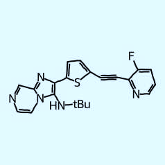 CC(C)(C)Nc1c(-c2ccc(C#Cc3ncccc3F)s2)nc2cnccn12